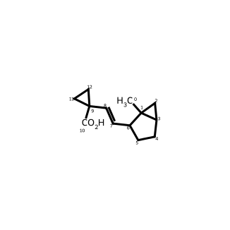 CC12CC1CCC2C=CC1(C(=O)O)CC1